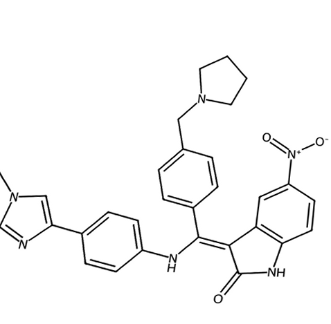 Cn1cnc(-c2ccc(N/C(=C3\C(=O)Nc4ccc([N+](=O)[O-])cc43)c3ccc(CN4CCCC4)cc3)cc2)c1